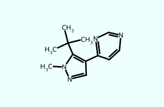 Cn1ncc(-c2ccncn2)c1C(C)(C)C